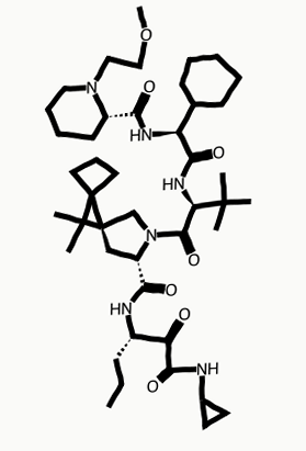 CCC[C@H](NC(=O)[C@@H]1C[C@@]2(CN1C(=O)[C@@H](NC(=O)[C@@H](NC(=O)[C@@H]1CCCCN1CCOC)C1CCCCC1)C(C)(C)C)C(C)(C)C21CCC1)C(=O)C(=O)NC1CC1